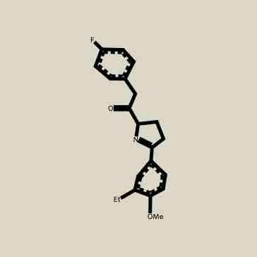 CCc1cc(C2=NC(C(=O)Cc3ccc(F)cc3)CC2)ccc1OC